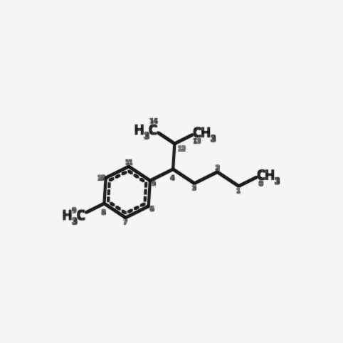 CCCCC(c1ccc(C)cc1)C(C)C